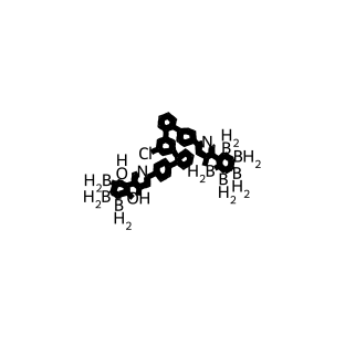 Bc1c(B)c(B)c(-c2cnc(-c3ccc(-c4ccccc4-c4cc(Cl)cc(-c5ccccc5-c5ccc(-c6cc(C)c(-c7c(O)c(B)c(B)c(B)c7O)cn6)cc5)c4)cc3)cc2C)c(B)c1B